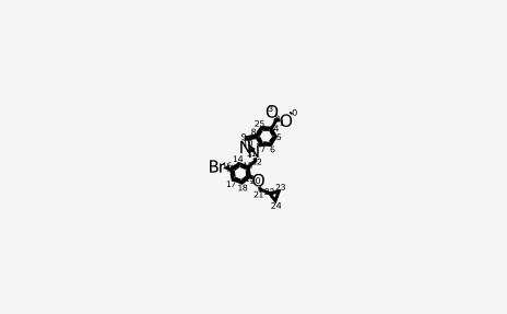 COC(=O)c1ccc2c(cnn2Cc2cc(Br)ccc2OCC2CC2)c1